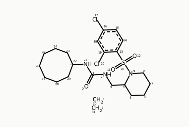 O=C(NCC1CCCCN1S(=O)(=O)c1ccc(Cl)cc1Cl)N[C]1CCCCCCC1.[CH2].[CH2]